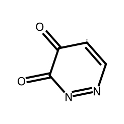 O=C1[C]=CN=NC1=O